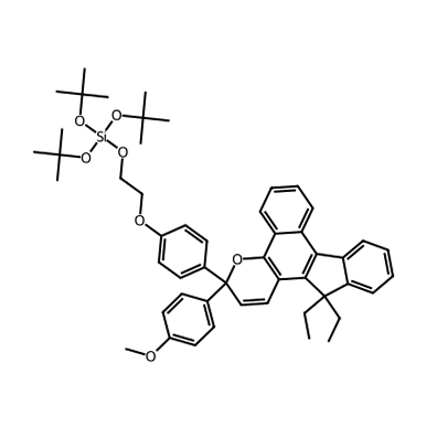 CCC1(CC)c2ccccc2-c2c1c1c(c3ccccc23)OC(c2ccc(OC)cc2)(c2ccc(OCCO[Si](OC(C)(C)C)(OC(C)(C)C)OC(C)(C)C)cc2)C=C1